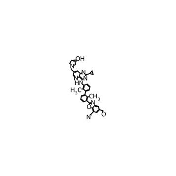 Cc1c(Nc2nc(C3CC3)nc3cc(CN4CC[C@H](O)C4)cnc23)cccc1-c1cccc(-c2nc3cc(C=O)cc(C#N)c3o2)c1C